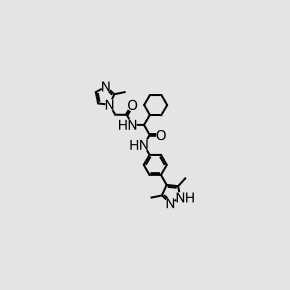 Cc1n[nH]c(C)c1-c1ccc(NC(=O)C(NC(=O)Cn2ccnc2C)C2CCCCC2)cc1